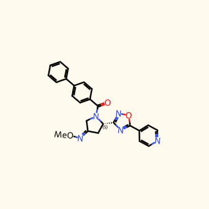 CON=C1C[C@@H](c2noc(-c3ccncc3)n2)N(C(=O)c2ccc(-c3ccccc3)cc2)C1